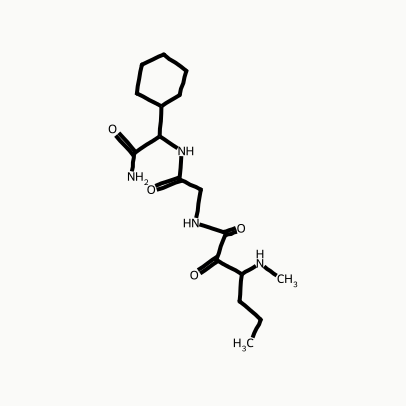 CCCC(NC)C(=O)C(=O)NCC(=O)NC(C(N)=O)C1CCCCC1